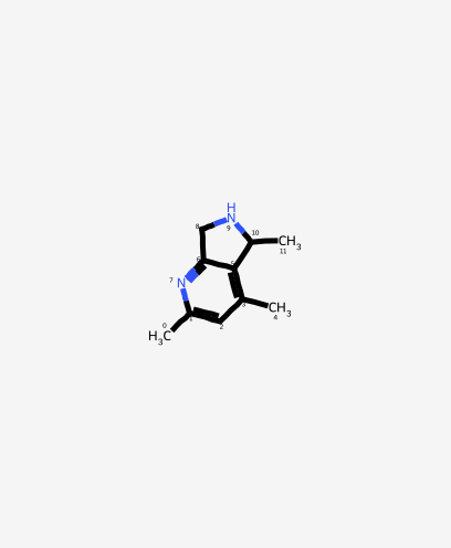 Cc1cc(C)c2c(n1)CNC2C